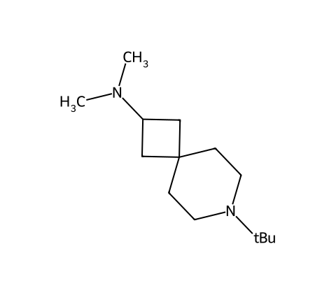 CN(C)C1CC2(CCN(C(C)(C)C)CC2)C1